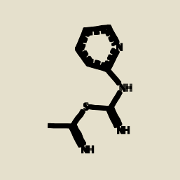 CC(=N)SC(=N)Nc1ccccn1